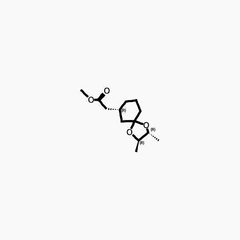 COC(=O)C[C@@H]1CCCC2(C1)O[C@H](C)[C@@H](C)O2